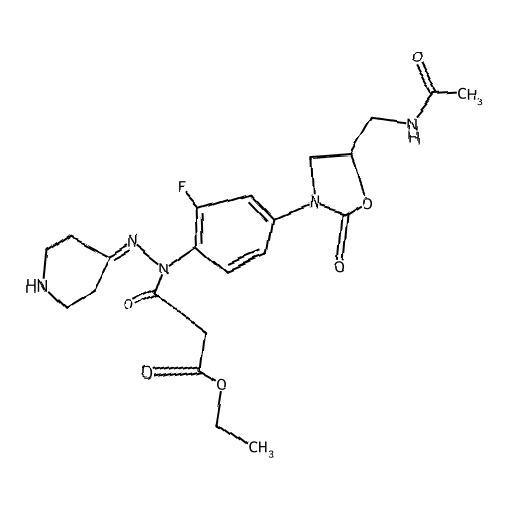 CCOC(=O)CC(=O)N(N=C1CCNCC1)c1ccc(N2CC(CNC(C)=O)OC2=O)cc1F